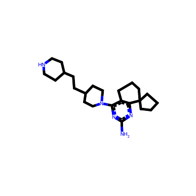 Nc1nc(N2CCC(CCC3CCNCC3)CC2)c2c(n1)C1(CCCC1)CCC2